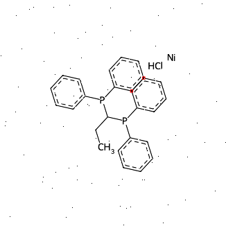 CCC(P(c1ccccc1)c1ccccc1)P(c1ccccc1)c1ccccc1.Cl.[Ni]